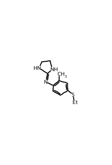 CCSc1ccc(N=C2NCCN2)c(C)c1